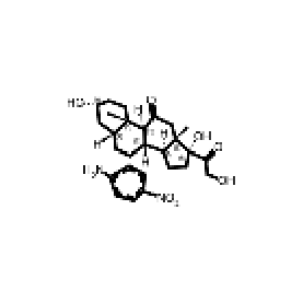 C[C@]12CC[C@@H](O)C[C@H]1CC[C@@H]1[C@@H]2C(=O)C[C@@]2(C)[C@H]1CC[C@]2(O)C(=O)CO.Nc1ccc([N+](=O)[O-])cc1